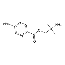 CCCCc1ccc(C(=O)OCC(C)(C)N)nc1